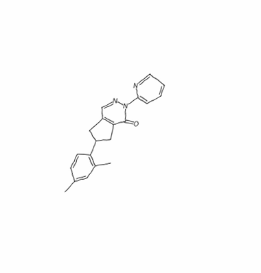 Cc1ccc(C2Cc3cnn(-c4ccccn4)c(=O)c3C2)c(C)c1